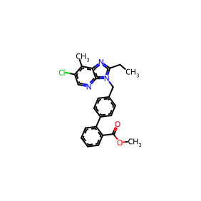 CCc1nc2c(C)c(Cl)cnc2n1Cc1ccc(-c2ccccc2C(=O)OC)cc1